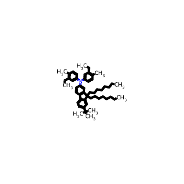 CCCCCCCCC1(CCCCCCCC)c2cc(N(c3ccc(C)c(CC)c3)c3ccc(C)c(CC)c3)ccc2-c2ccc(C(C)(C)C)cc21